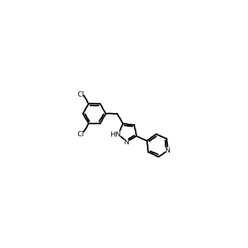 Clc1cc(Cl)cc(Cc2cc(-c3ccncc3)n[nH]2)c1